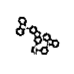 c1cc(-c2nccn2-c2ccc3c(c2)-c2cc(-n4c5ccccc5c5ccccc54)ccc2C3)cc(-n2c3ccccc3c3ccccc32)c1